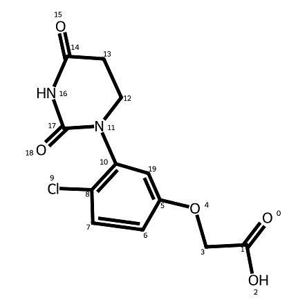 O=C(O)COc1ccc(Cl)c(N2CCC(=O)NC2=O)c1